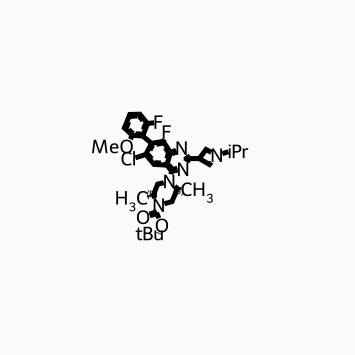 COc1cccc(F)c1-c1c(Cl)cc2c(N3C[C@@H](C)N(C(=O)OC(C)(C)C)C[C@@H]3C)nc(C3CN(C(C)C)C3)nc2c1F